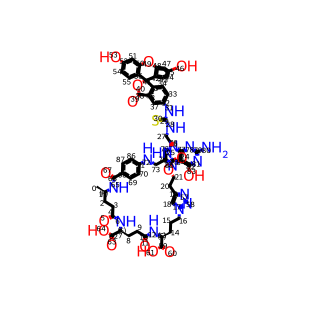 C[C@H](CCC(=O)N[C@@H](CCC(=O)N[C@@H](CCCn1cc(CCOC(=O)NCCNC(=S)Nc2ccc3c(c2)C(=O)OC32c3ccc(O)cc3Oc3cc(O)ccc32)nn1)C(=O)O)C(=O)O)NC(=O)c1ccc(NCc2cnc3nc(N)nc(O)c3n2)cc1